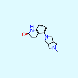 CN1CC2CN(c3cccc4c3CCC(=O)N4)CC2C1